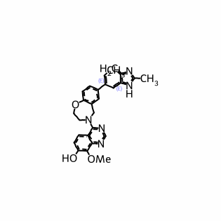 C=c1nc(C)[nH]/c1=C/C(=C\C)c1ccc2c(c1)CN(c1ncnc3c(OC)c(O)ccc13)CCO2